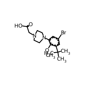 COc1c(N2CCN(CC(=O)O)CC2)cc(Br)cc1C(C)(C)C